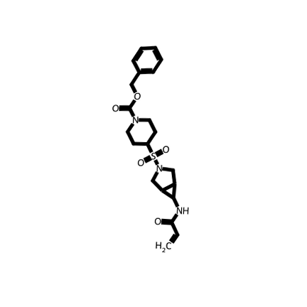 C=CC(=O)NC1C2CN(S(=O)(=O)C3CCN(C(=O)OCc4ccccc4)CC3)CC21